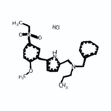 CCCN(Cc1ccccc1)Cc1ccc(-c2cc(S(=O)(=O)CC)ccc2OC)[nH]1.Cl